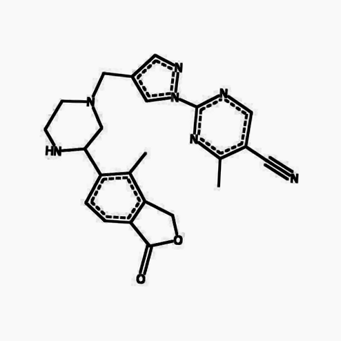 Cc1nc(-n2cc(CN3CCNC(c4ccc5c(c4C)COC5=O)C3)cn2)ncc1C#N